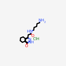 Cl.NCCCCCNC(=O)Cc1n[nH]c(=O)c2c1CCCC2